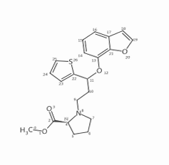 COC(=O)[C@@H]1CCCN1CCC(Oc1cccc2ccoc12)c1cccs1